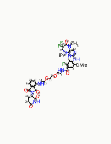 COc1cc(C(=O)NCCOCCOCCNc2cccc3c2C(=O)N(C2CCC(=O)NC2=O)C3=O)c(F)cc1Nc1ncc2c(n1)N(C(C)C)CC(F)(F)C(=O)N2C